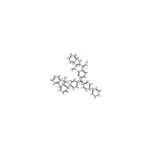 C=CC1=C(/C(=C\C)c2ccc(N(c3ccc(C4=CCCC=C4)cc3)c3ccc(-c4cccc5c4C(C)(C)c4ccccc4-5)cc3)cc2)Cc2ccccc21